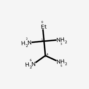 CCC(N)(N)[C](N)N